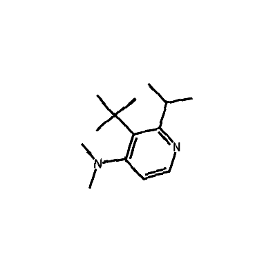 CC(C)c1nccc(N(C)C)c1C(C)(C)C